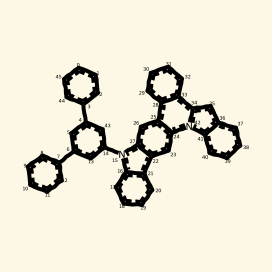 c1ccc(-c2cc(-c3ccccc3)cc(-n3c4ccccc4c4cc5c(cc43)c3ccccc3c3cc4ccccc4n35)c2)cc1